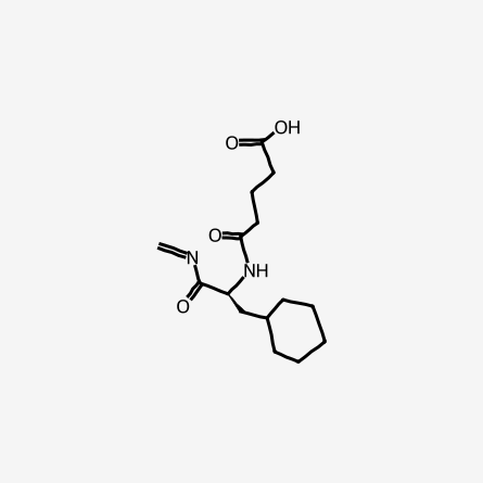 C=NC(=O)[C@H](CC1CCCCC1)NC(=O)CCCC(=O)O